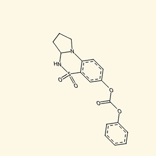 O=C(Oc1ccccc1)Oc1ccc2c(c1)S(=O)(=O)NC1CCCN21